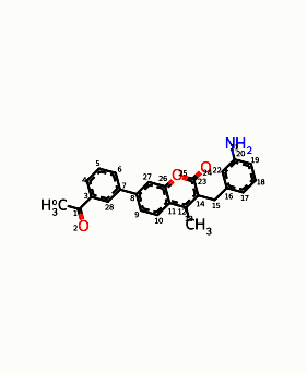 CC(=O)c1cccc(-c2ccc3c(C)c(Cc4cccc(N)c4)c(=O)oc3c2)c1